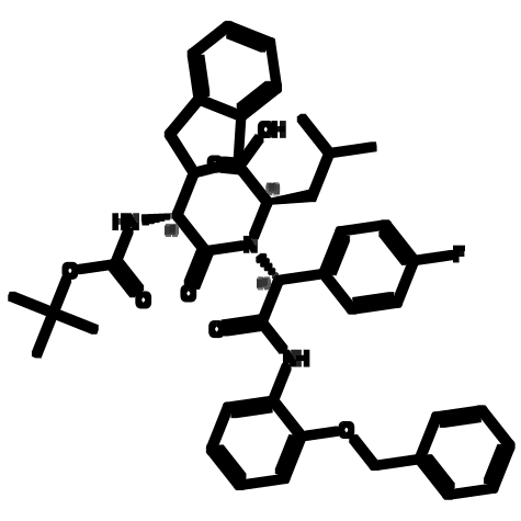 CC(C)C[C@H](C(=O)O)N(C(=O)[C@H](NC(=O)OC(C)(C)C)C1Cc2ccccc2C1)[C@@H](C(=O)Nc1ccccc1OCc1ccccc1)c1ccc(F)cc1